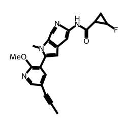 CC#Cc1cnc(OC)c(-c2cc3cc(NC(=O)C4CC4F)ncc3n2C)c1